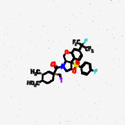 C[C@@H]1C[C@@](CI)(C(=O)N2CCC3(S(=O)(=O)c4ccc(F)cc4)c4ccc(C(F)(C(F)(F)F)C(F)(F)F)cc4OCC23)CC[C@H]1C(=O)O